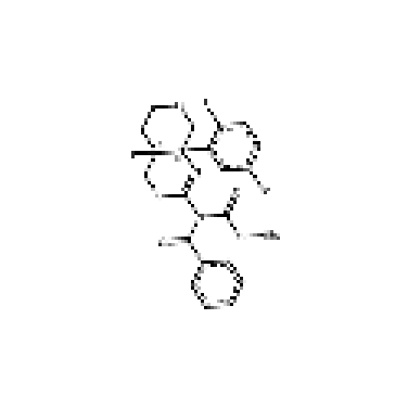 CC(C)(C)OC(=O)N(C(=O)c1ccccc1)C1=N[C@@]2(c3cc(Br)ccc3F)COCC[C@H]2CS1